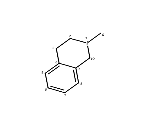 CI1CCc2ccccc2C1